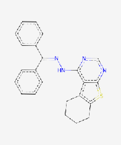 c1ccc(C(=NNc2ncnc3sc4c(c23)CCCC4)c2ccccc2)cc1